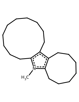 Cn1c2c(c3c1CCCCCCC3)CCCCCCCCCC2